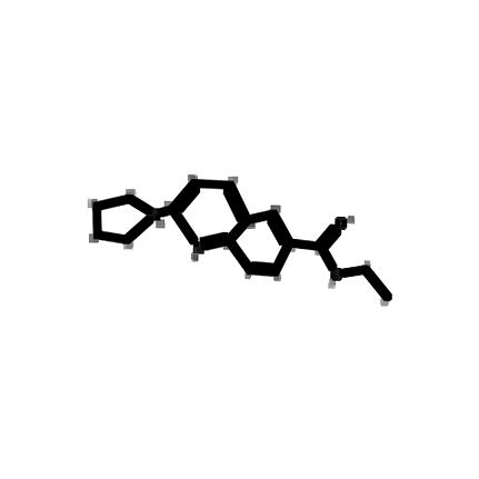 CCOC(=O)c1ccc2nc(N3CCCC3)ccc2c1